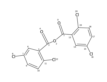 O=C(OC(=O)c1cc(Cl)ccc1Cl)c1cc(Cl)ccc1Cl